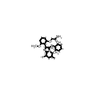 COc1cccc(OCC(N)=O)c1-c1nc2c(F)cc(F)cn2c1Nc1c(C)cccc1C